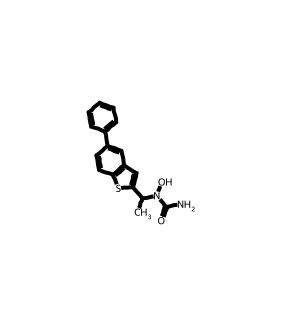 CC(c1cc2cc(-c3ccccc3)ccc2s1)N(O)C(N)=O